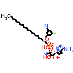 CCCCCCCCCCCCCCCCCCC[C@H](COP(=O)(O)OC[C@@]1(C#N)O[C@@H](c2ccc3c(N)ncnn23)[C@H](O)[C@@H]1O)OCc1cc(F)cc(C#N)c1